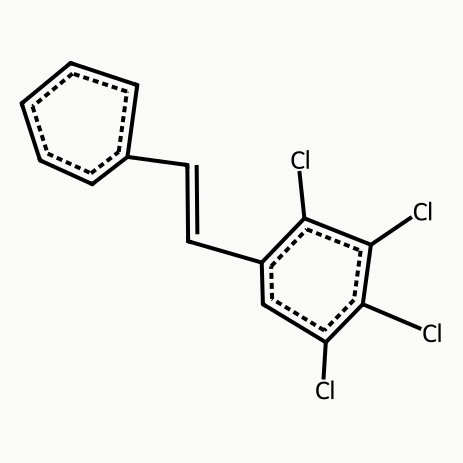 Clc1cc(C=Cc2ccccc2)c(Cl)c(Cl)c1Cl